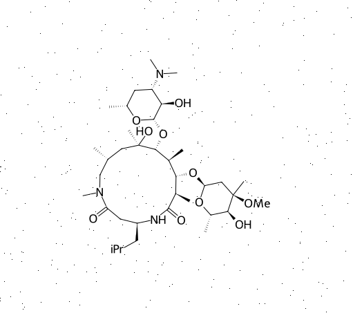 CO[C@]1(C)C[C@H](O[C@H]2[C@H](C)[C@@H](O[C@@H]3O[C@H](C)C[C@H](N(C)C)[C@H]3O)[C@](C)(O)C[C@@H](C)CN(C)C(=O)C[C@H](CC(C)C)NC(=O)[C@@H]2C)O[C@@H](C)[C@@H]1O